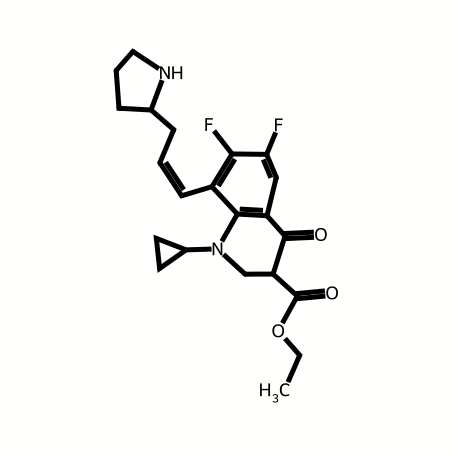 CCOC(=O)C1CN(C2CC2)c2c(cc(F)c(F)c2/C=C\CC2CCCN2)C1=O